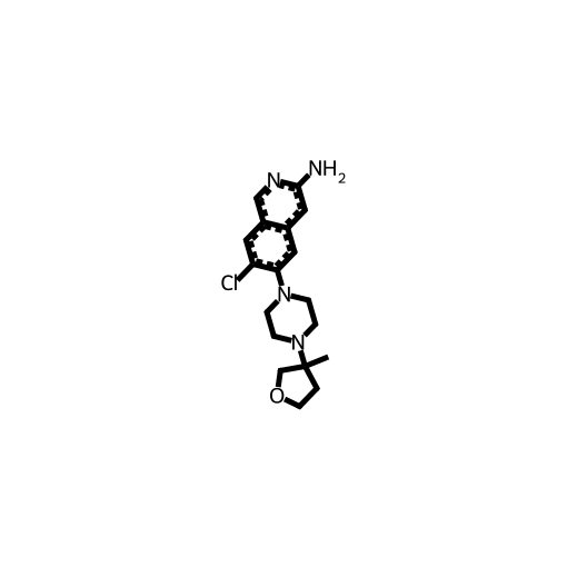 CC1(N2CCN(c3cc4cc(N)ncc4cc3Cl)CC2)CCOC1